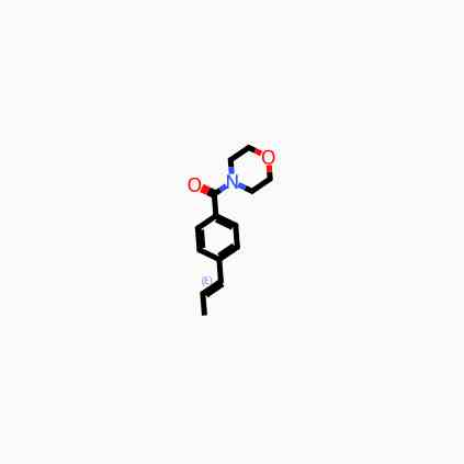 C/C=C/c1ccc(C(=O)N2CCOCC2)cc1